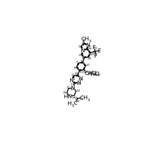 Cc1cn2cc(-c3ccc(-c4cnc(N5CCN[C@@H](C(C)C)C5)nn4)c(O)c3)cc(C(F)(F)F)c2n1.Cl.Cl